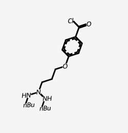 CCCCNN(CCCOc1ccc(C(=O)Cl)cc1)NCCCC